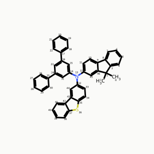 CC1(C)c2ccccc2-c2ccc(N(c3cc(-c4ccccc4)cc(-c4ccccc4)c3)c3ccc4sc5ccccc5c4c3)cc21